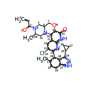 C=CC(=O)N1CC2COc3c(c4cc(Cl)c(-c5c(C)ccc6[nH]nc(C7CC7)c56)nc4[nH]c3=O)N2CC1C